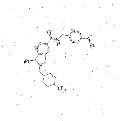 CCSc1ccc(CNC(=O)c2cnc3c(c2)CN(CC2CCC(C(F)(F)F)CC2)C3C(C)C)nc1